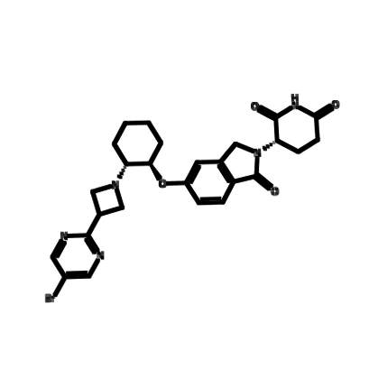 O=C1CC[C@H](N2Cc3cc(O[C@@H]4CCCC[C@H]4N4CC(c5ncc(Br)cn5)C4)ccc3C2=O)C(=O)N1